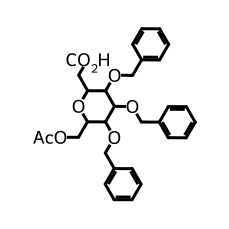 CC(=O)OCC1OC(CC(=O)O)C(OCc2ccccc2)C(OCc2ccccc2)C1OCc1ccccc1